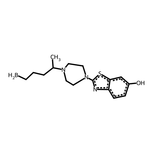 BCCCC(C)N1CCN(c2nc3ccc(O)cc3s2)CC1